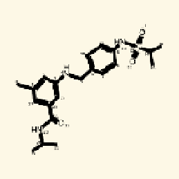 Cc1cc(NCc2ccc(NS(=O)(=O)C(C)C)cc2)cc(C(=O)NC(C)C)c1